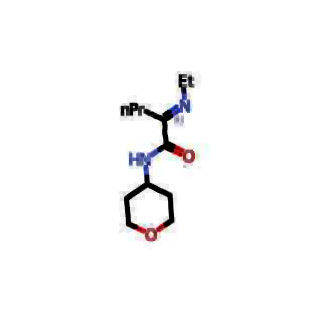 CCC/C(=N\CC)C(=O)NC1CCOCC1